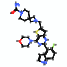 NC(=O)N1CCC2(CC1)CN(Cc1cc3nc(-c4c(F)ccc5[nH]ccc45)nc(N4CCOCC4)c3s1)C2